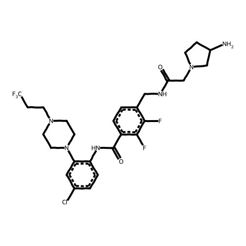 NC1CCN(CC(=O)NCc2ccc(C(=O)Nc3ccc(Cl)cc3N3CCN(CCC(F)(F)F)CC3)c(F)c2F)C1